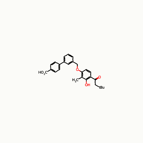 Cc1c(OCc2cccc(-c3ccc(C(=O)O)cc3)c2)ccc(C(=O)CC(C)(C)C)c1O